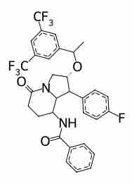 CC(O[C@H]1CN2C(=O)CCC(NC(=O)c3ccccc3)C2C1c1ccc(F)cc1)c1cc(C(F)(F)F)cc(C(F)(F)F)c1